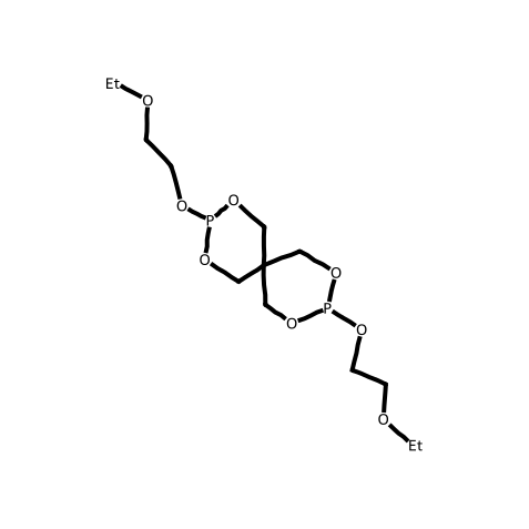 CCOCCOP1OCC2(CO1)COP(OCCOCC)OC2